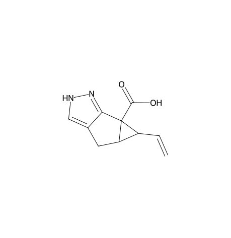 C=CC1C2Cc3c[nH]nc3C12C(=O)O